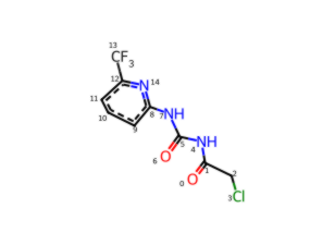 O=C(CCl)NC(=O)Nc1cccc(C(F)(F)F)n1